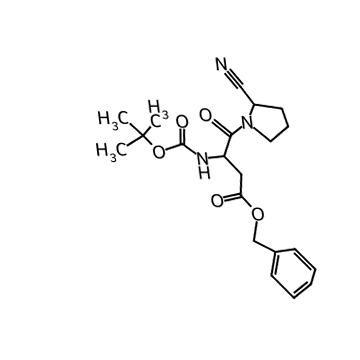 CC(C)(C)OC(=O)NC(CC(=O)OCc1ccccc1)C(=O)N1CCCC1C#N